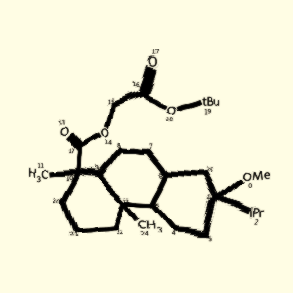 COC1(C(C)C)CCC2C(CCC3C(C)(C(=O)OCC(=O)OC(C)(C)C)CCCC23C)C1